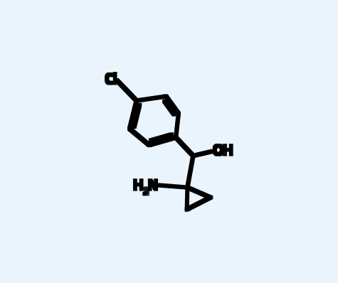 NC1(C(O)c2ccc(Cl)cc2)CC1